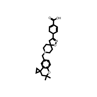 CC1(C)CC2(CC2)c2cc(CN3CCC4(CC3)CC(C3C=CC(C(=O)O)=CC3)=NO4)ccc2O1